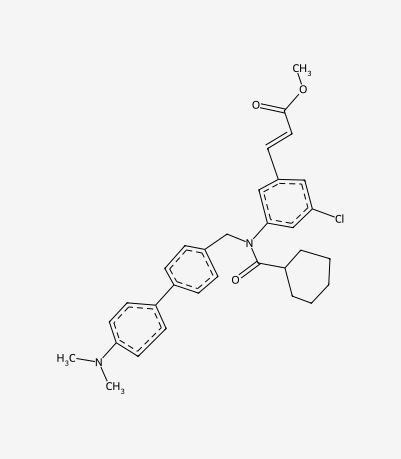 COC(=O)/C=C/c1cc(Cl)cc(N(Cc2ccc(-c3ccc(N(C)C)cc3)cc2)C(=O)C2CCCCC2)c1